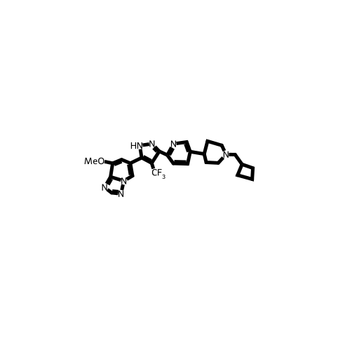 COc1cc(-c2[nH]nc(-c3ccc(C4CCN(CC5CCC5)CC4)cn3)c2C(F)(F)F)cn2ncnc12